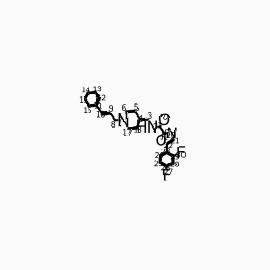 O=C(NCC1CCN(CC=Cc2ccccc2)CC1)c1ncc(-c2ccc(F)cc2F)o1